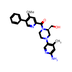 COc1cc(C(=O)N2CCN(c3cnc(N)cc3C)C[C@@H]2CO)ncc1-c1ccccc1